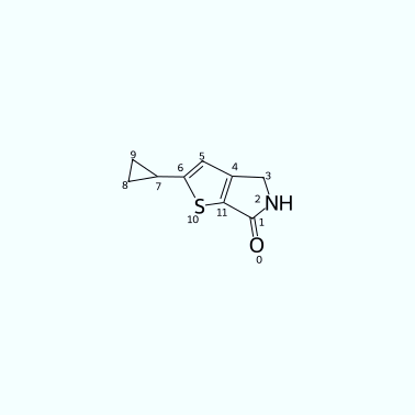 O=C1NCc2cc(C3CC3)sc21